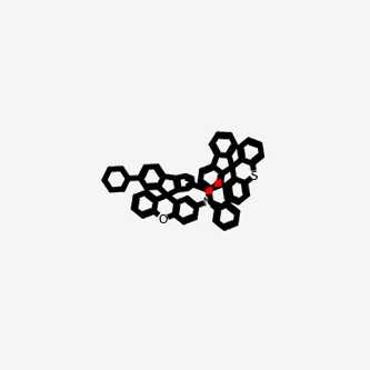 c1ccc(N(c2ccc3c(c2)C2(c4ccccc4O3)c3cc(C4CCCCC4)ccc3-c3ccc(C4CCCCC4)cc32)c2ccc3c(c2)C2(c4ccccc4Sc4ccccc42)c2ccccc2-3)cc1